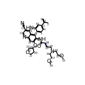 C=C(C)c1cccc(Nc2c(C#N)cnc3cc(OC4CCOC4)c(NC(=O)/C=C/CN(CCOC)CCOC)cc23)c1